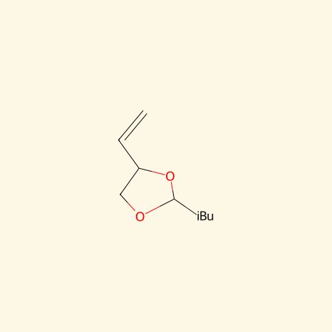 C=CC1COC(C(C)CC)O1